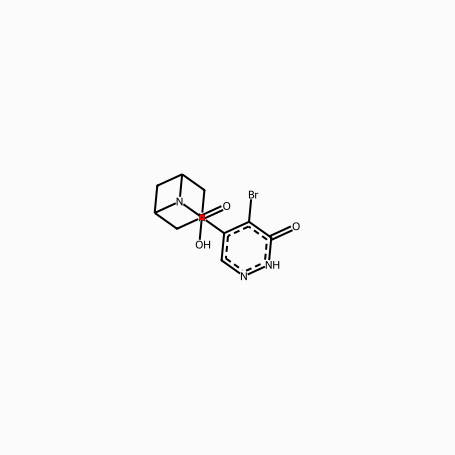 O=C(O)N1C2CC1CN(c1cn[nH]c(=O)c1Br)C2